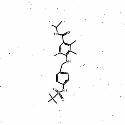 Cc1cc(C(=O)NC(C)C)c(C)c(C)c1NCc1ccc(NS(=O)(=O)C(C)(C)C)cc1